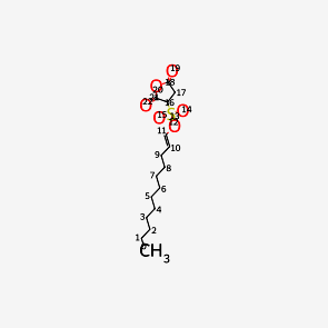 CCCCCCCCCCC=COS(=O)(=O)C1CC(=O)OC1=O